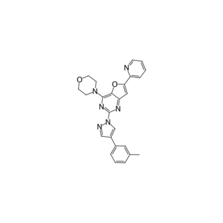 Cc1cccc(-c2cnn(-c3nc(N4CCOCC4)c4oc(-c5ccccn5)cc4n3)c2)c1